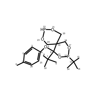 Cc1ccc(OC2(C(C)(C)C)OP(C(C)(C)C)OCC23COPOC3)cc1